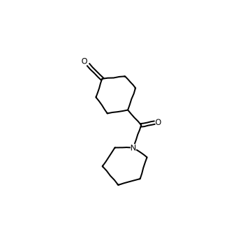 O=C1CCC(C(=O)N2CCCCC2)CC1